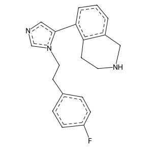 Fc1ccc(CCn2cncc2-c2cccc3c2CCNC3)cc1